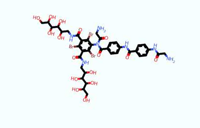 NCC(=O)Nc1ccc(C(=O)Nc2ccc(C(=O)N(C(=O)CN)c3c(Br)c(C(=O)NCC(O)C(O)C(O)C(O)CO)c(Br)c(C(=O)NCC(O)C(O)C(O)C(O)CO)c3Br)cc2)cc1